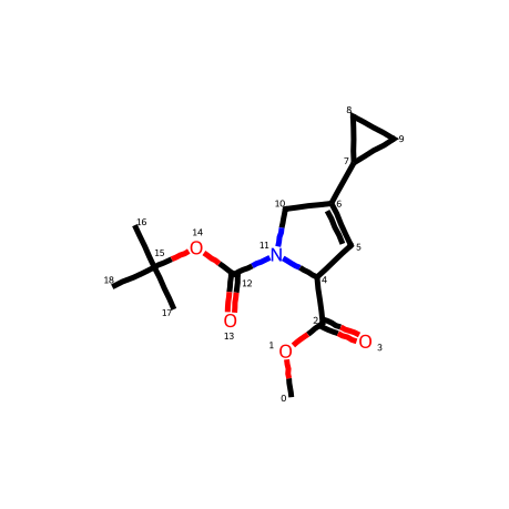 COC(=O)C1C=C(C2CC2)CN1C(=O)OC(C)(C)C